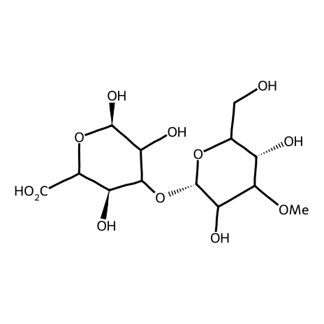 COC1C(O)[C@H](OC2C(O)[C@H](O)OC(C(=O)O)[C@@H]2O)OC(CO)[C@@H]1O